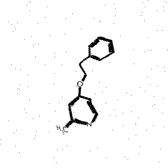 Cc1cc(OCCc2ccccc2)ccn1